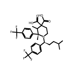 CC(C)CC[C@@H](c1ccc(C(F)(F)F)cc1)N1CCC(C(=O)O)(C(=O)O)C(C)[C@@]1(C)c1ccc(C(F)(F)F)cc1